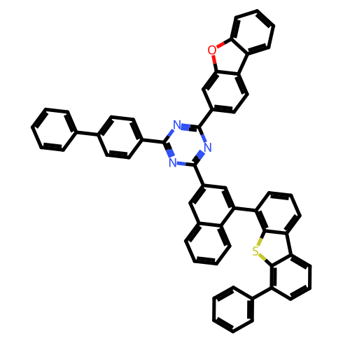 c1ccc(-c2ccc(-c3nc(-c4cc(-c5cccc6c5sc5c(-c7ccccc7)cccc56)c5ccccc5c4)nc(-c4ccc5c(c4)oc4ccccc45)n3)cc2)cc1